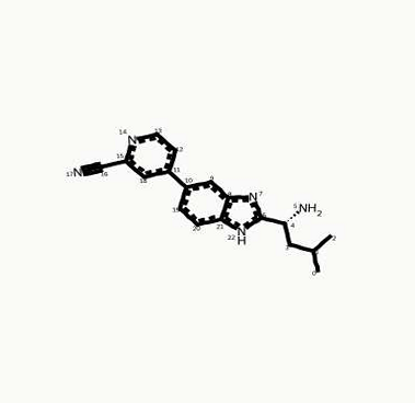 CC(C)C[C@@H](N)c1nc2cc(-c3ccnc(C#N)c3)ccc2[nH]1